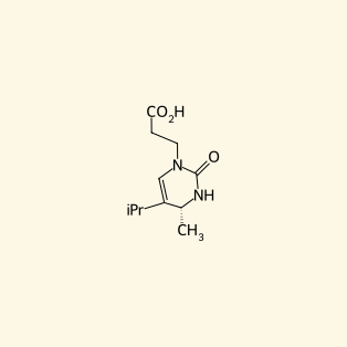 CC(C)C1=CN(CCC(=O)O)C(=O)N[C@@H]1C